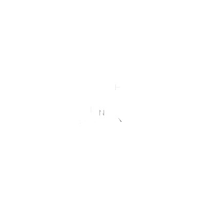 CCC(=O)N1[C@H](C)C[C@@H]2CCCC[C@@H]21